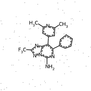 Cc1cc(-c2c(-c3ccccc3)nc(N)n3nc(C(F)(F)F)nc23)cc(C)n1